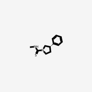 CNC(=S)N1CC[C@@H](c2ccccc2)C1